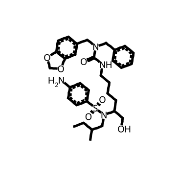 CCC(C)CN(C(CO)CCCCNC(=O)N(Cc1ccccc1)Cc1ccc2c(c1)OCO2)S(=O)(=O)c1ccc(N)cc1